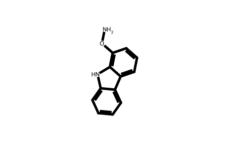 NOc1cccc2c1[nH]c1ccccc12